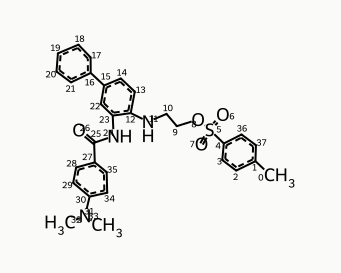 Cc1ccc(S(=O)(=O)OCCNc2ccc(-c3ccccc3)cc2NC(=O)c2ccc(N(C)C)cc2)cc1